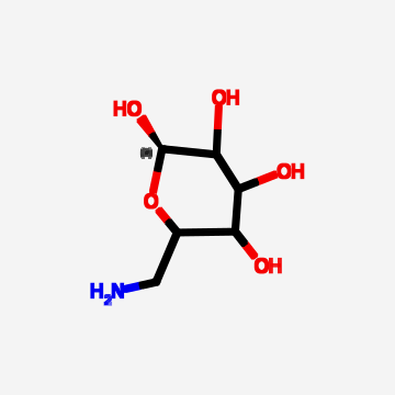 NCC1O[C@@H](O)C(O)C(O)C1O